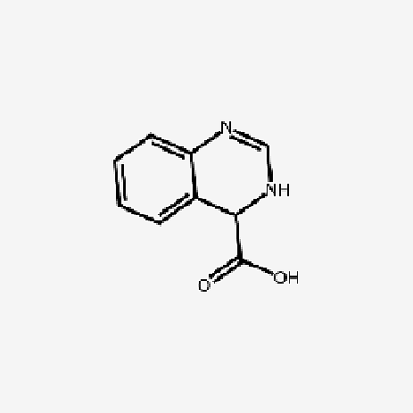 O=C(O)C1NC=Nc2ccccc21